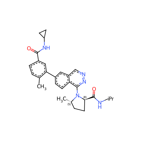 Cc1ccc(C(=O)NC2CC2)cc1-c1ccc2c(N3[C@@H](C(=O)NC(C)C)CC[C@@H]3C)nncc2c1